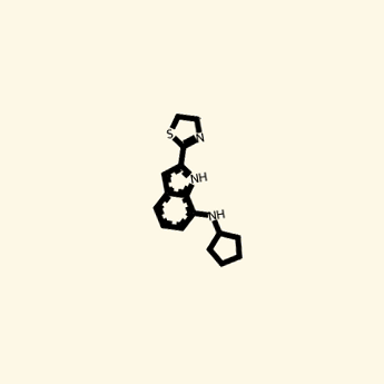 [CH]1CSC(c2cc3cccc(NC4CCCC4)c3[nH]2)=N1